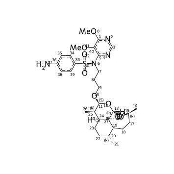 COc1ncnc(N(CCCO[C@H]2O[C@@H]3O[C@@]4(C)CCC5[C@H](C)CC[C@@H]([C@H]2C)[C@]53OO4)S(=O)(=O)c2ccc(N)cc2)c1OC